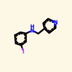 Ic1cccc(NCc2ccncc2)c1